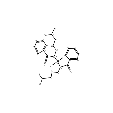 CC(C)CCC[N](C(=O)c1ccccc1)[Zr]([F])([F])[N](CCCC(C)C)C(=O)c1ccccc1